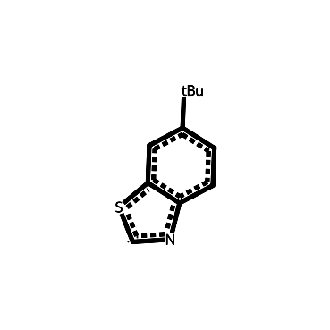 CC(C)(C)c1ccc2n[c]sc2c1